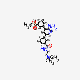 CN(C)CCNC(=O)c1cccc(-c2cnc(N)c(-c3cccc(S(C)(=O)=O)c3)c2)c1